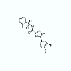 CCc1ccc(-c2nc(C(=O)NS(=O)(=O)c3ccccc3C)cn2C)cc1F